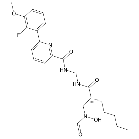 CCCCC[C@H](CN(O)C=O)C(=O)NCNC(=O)c1cccc(-c2cccc(OC)c2F)n1